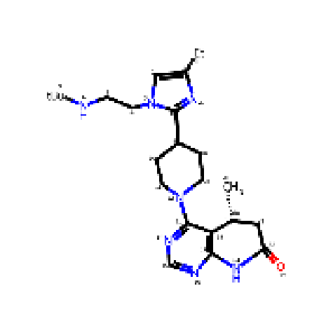 CCc1cn(CCNC(C)(C)C)c(C2CCN(c3ncnc4c3[C@H](C)CC(=O)N4)CC2)n1